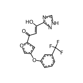 O=C(C=C(O)c1nc[nH]n1)c1cc(Oc2cccc(C(F)(F)F)c2)co1